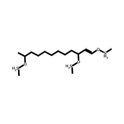 C[SiH2]OC=CC(CCCCCCCC(C)O[SiH2]C)O[SiH2]C